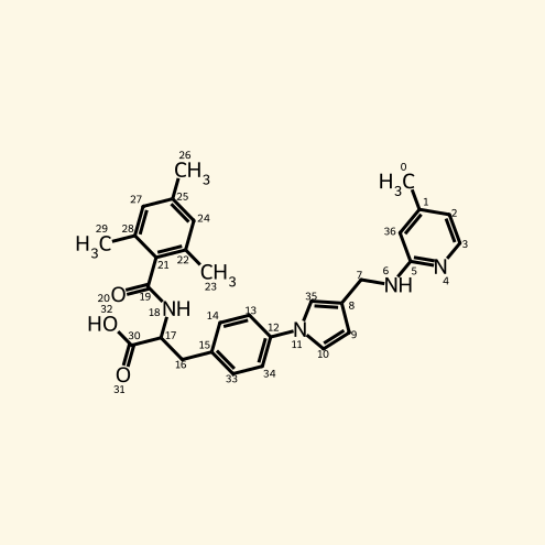 Cc1ccnc(NCc2ccn(-c3ccc(CC(NC(=O)c4c(C)cc(C)cc4C)C(=O)O)cc3)c2)c1